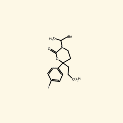 CC(N1CCC(CCC(=O)O)(c2ccc(F)cc2)OC1=O)C(C)(C)C